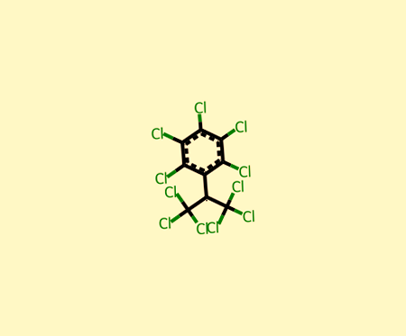 Clc1c(Cl)c(Cl)c([C](C(Cl)(Cl)Cl)C(Cl)(Cl)Cl)c(Cl)c1Cl